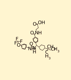 CCC(C)(C)C1CCC(C(NC(=O)Nc2ccc(OC(F)(F)F)cc2)c2ccc(C(=O)NCCC(=O)O)cc2)CC1